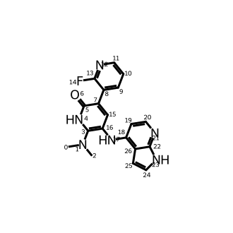 CN(C)c1[nH]c(=O)c(-c2cccnc2F)cc1Nc1ccnc2[nH]ccc12